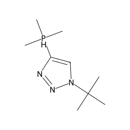 CC(C)(C)n1cc([PH](C)(C)C)nn1